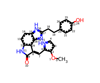 COc1cc[nH]c1/C=C1/C(=O)Nc2ccc3[nH]c(CCc4ccc(O)cc4)nc3c21